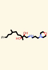 CC(C)CCCC(C)CCCC(C)(O)C(O)CNCCCN1CCOCC1